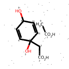 CC(=O)O.O=C(O)CC1(O)C=CC(O)C=C1